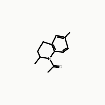 CC(=O)N1c2ccc(C)cc2CCC1C